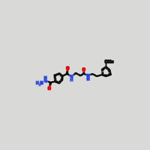 COc1cccc(CCNC(=O)CCNC(=O)c2ccc(C(=O)NN)cc2)c1